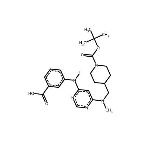 CN(CC1CCN(C(=O)OC(C)(C)C)CC1)c1cc(N(F)c2cccc(C(=O)O)c2)ncn1